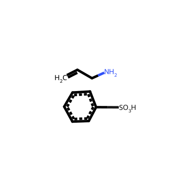 C=CCN.O=S(=O)(O)c1ccccc1